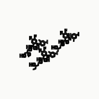 CCC(O)CCONC(=O)c1cc(F)c(F)cc1Nc1ccc(I)cc1C.COC(CO)CONC(=O)c1cc(F)c(F)cc1Nc1ccc(I)cc1C.Cc1cc(I)ccc1Nc1cc(F)c(F)cc1C(=O)NOCCC(C)O